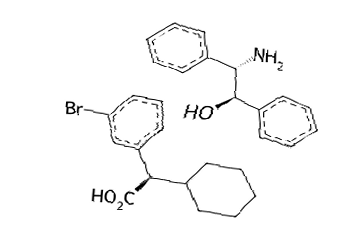 N[C@@H](c1ccccc1)[C@H](O)c1ccccc1.O=C(O)[C@@H](c1cccc(Br)c1)C1CCCCC1